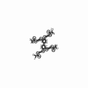 C=C(C)C(=O)OC#COc1ccc(-c2ccc(OC#COC(=O)C(=C)C)c(OC#COC(=O)C(=C)C)c2)cc1OC#COC(=O)C(=C)C